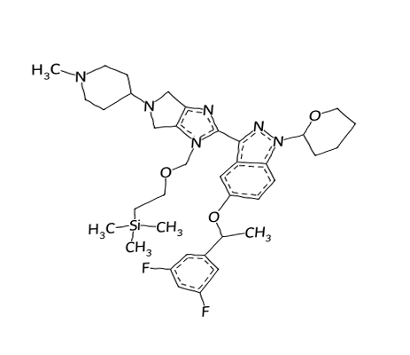 CC(Oc1ccc2c(c1)c(-c1nc3c(n1COCC[Si](C)(C)C)CN(C1CCN(C)CC1)C3)nn2C1CCCCO1)c1cc(F)cc(F)c1